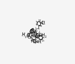 C=CC(=O)N(CCc1cccc(Cl)c1)C(=O)C1(OC)NC(c2ccccc2)c2[nH]cnc2C1OC